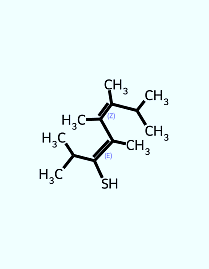 CC(=C(\C)C(C)C)/C(C)=C(/S)C(C)C